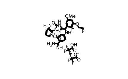 COc1cc(OCCF)c(F)c(C(Nc2ccc(C(=N)N)cc2)c2nn(-c3c(N)ccc[n+]3C)c(=O)[nH]2)c1.O=C(O)C(F)(F)F.O=C([O-])C(F)(F)F